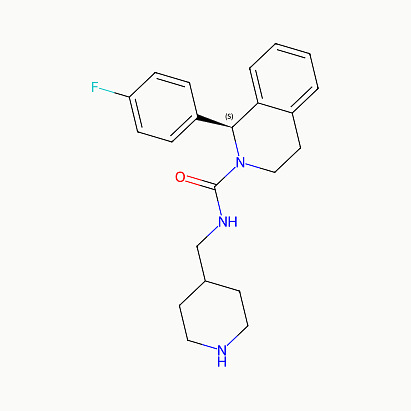 O=C(NCC1CCNCC1)N1CCc2ccccc2[C@@H]1c1ccc(F)cc1